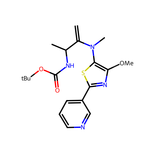 C=C(C(C)NC(=O)OC(C)(C)C)N(C)c1sc(-c2cccnc2)nc1OC